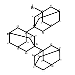 BrC12CC3CC(C1)CC(C14CC5CC(CC(C67CC8CC(CC(C8)C6)C7)(C5)C1)C4)(C3)C2